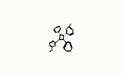 COc1nccc([C@H]2[C@H](c3ccccc3)[C@H](c3ccnc(Cl)n3)[C@H]2c2ccccc2)n1